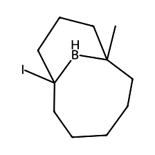 CC12BC(I)(CCCCC1)CCC2